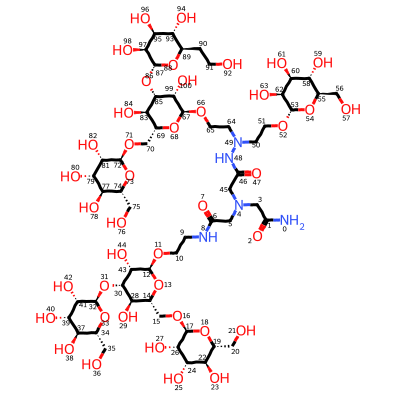 NC(=O)CN(CC(=O)NCCO[C@H]1O[C@H](CO[C@H]2O[C@H](CO)[C@@H](O)[C@H](O)[C@@H]2O)[C@@H](O)[C@H](O[C@H]2O[C@H](CO)[C@@H](O)[C@H](O)[C@@H]2O)[C@@H]1O)CC(=O)NN(CCO[C@H]1O[C@H](CO)[C@@H](O)[C@H](O)[C@@H]1O)CCO[C@H]1O[C@H](CO[C@H]2O[C@H](CO)[C@@H](O)[C@H](O)[C@@H]2O)[C@@H](O)[C@H](O[C@H]2O[C@H](CCO)[C@@H](O)[C@H](O)[C@@H]2O)[C@@H]1O